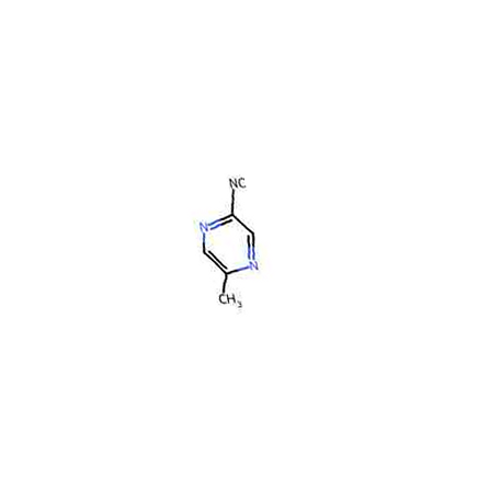 [C-]#[N+]c1cnc(C)cn1